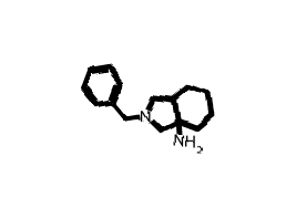 NC12CCCCC1CN(Cc1ccccc1)C2